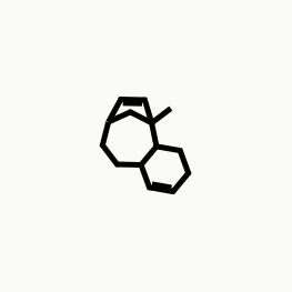 CC12C=CC(CCC3C=CCCC31)C2